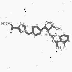 COC(=O)c1cn(Cc2ccc(-c3onc(C)c3NC(=O)OC(C)c3ccccc3Cl)cc2)cn1